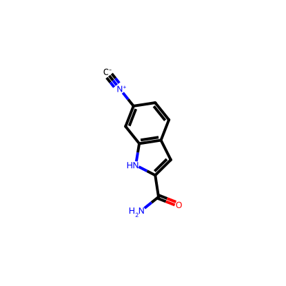 [C-]#[N+]c1ccc2cc(C(N)=O)[nH]c2c1